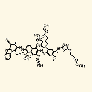 COc1cc(N=Nc2c(SOOO)cc3c(S(=O)(=O)O)c(N=Nc4c(C)c(C#N)c5nc6ccccc6n5c4O)ccc3c2O)c(N(CCCSOOO)CCCS(=O)(=O)O)cc1N=Nc1nnc(SCCSOOO)s1